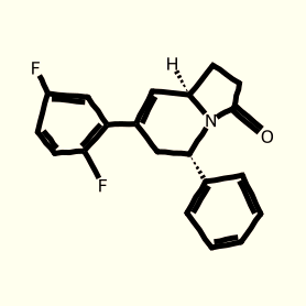 O=C1CC[C@@H]2C=C(c3cc(F)ccc3F)C[C@@H](c3ccccc3)N12